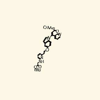 COC(=O)/C=C(\c1cccnc1)n1ccc2cc(OCCc3cccc(NCC(=O)OC(C)(C)C)n3)ccc21